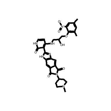 Cc1cc(C)c(OCC(O)CNc2cc[nH]c(=O)c2-c2nc3cc4c(cc3[nH]2)C(=O)N(C2CCN(C)CC2)C4=O)c([N+](=O)[O-])c1